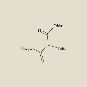 C=C(C(=O)O)C(CCCC)C(=O)OC